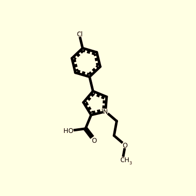 COCCn1cc(-c2ccc(Cl)cc2)cc1C(=O)O